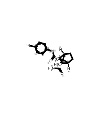 CC1(C)[C@@H]2CC[C@H]1[C@@H](C(=O)Nc1ccc(I)cc1)[C@H]2C(N)=O